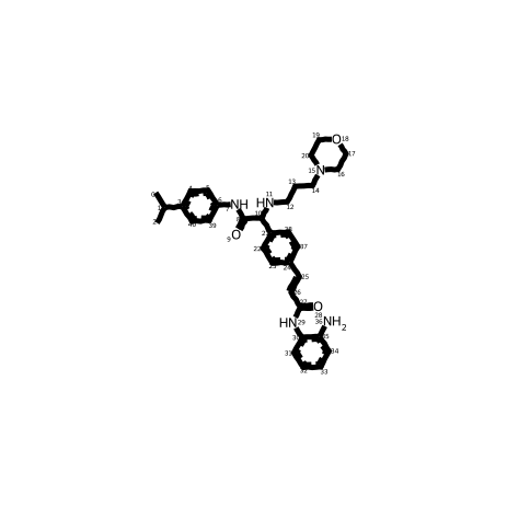 CC(C)c1ccc(NC(=O)C(NCCCN2CCOCC2)c2ccc(C=CC(=O)Nc3ccccc3N)cc2)cc1